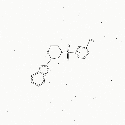 O=S(=O)(c1cccc(C(F)(F)F)c1)N1CCOC(c2cc3ccccc3s2)C1